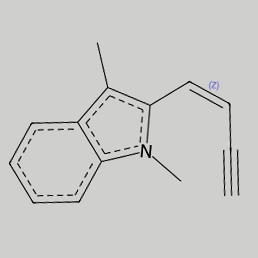 C#C/C=C\c1c(C)c2ccccc2n1C